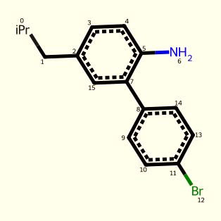 CC(C)Cc1ccc(N)c(-c2ccc(Br)cc2)c1